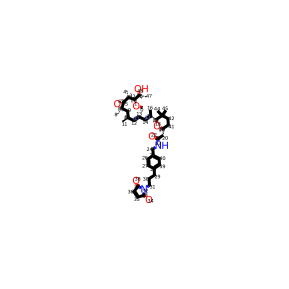 CO[C@H]([C@@H](C)[C@H]1O[C@]1(C)C[C@H](C)/C=C/C=C(\C)[C@H]1O[C@@H](CC(=O)NCc2ccc(CCCN3C(=O)C=CC3=O)cc2)CCC1(C)C)[C@@H](C)O